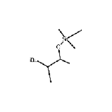 CCC(C)C(C)C(C)O[Si](C)(C)C